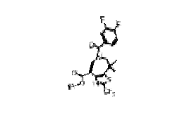 CC(C)OC(=O)C1=CN(C(=O)c2ccc(F)c(F)c2)CC(C)(C)c2sc(C(F)(F)F)nc21